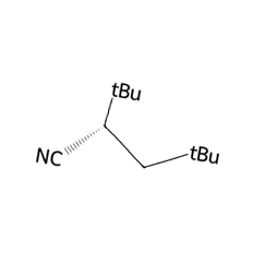 CC(C)(C)C[C@H](C#N)C(C)(C)C